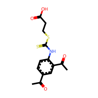 CC(=O)c1ccc(NC(=S)SCCC(=O)O)c(C(C)=O)c1